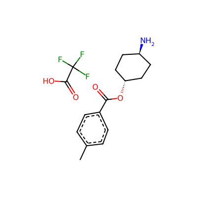 Cc1ccc(C(=O)O[C@H]2CC[C@H](N)CC2)cc1.O=C(O)C(F)(F)F